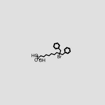 O=P(O)(O)CCCCCCCC(Br)(Cc1ccccc1)Cc1ccccc1